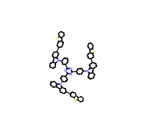 c1cc(-c2nc(-c3ccc(-n4c5ccccc5c5ccc(-c6ccc7c(c6)sc6ccccc67)cc54)cc3)nc(-c3ccc(-n4c5ccccc5c5ccc(-c6ccc7c(c6)sc6ccccc67)cc54)cc3)n2)cc(-n2c3ccccc3c3ccc(-c4ccc5c(c4)sc4ccccc45)cc32)c1